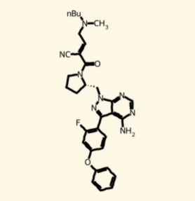 CCCCN(C)C/C=C(\C#N)C(=O)N1CCC[C@H]1Cn1nc(-c2ccc(Oc3ccccc3)cc2F)c2c(N)ncnc21